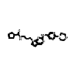 O=C(NCCCn1ccc2cnc(Nc3ccc(N4CCOCC4)nc3)nc21)C1CCCC1